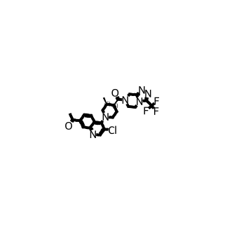 CC(=O)c1ccc2c(N3CC[C@H](C(=O)N4CCn5c(nnc5C(F)(F)F)C4)[C@H](C)C3)c(Cl)cnc2c1